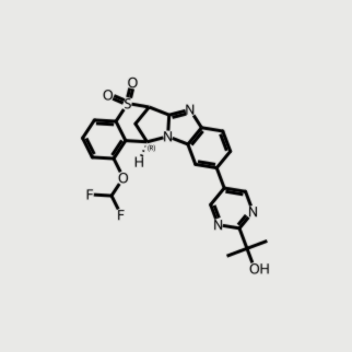 CC(C)(O)c1ncc(-c2ccc3nc4n(c3c2)[C@@H]2CC4S(=O)(=O)c3cccc(OC(F)F)c32)cn1